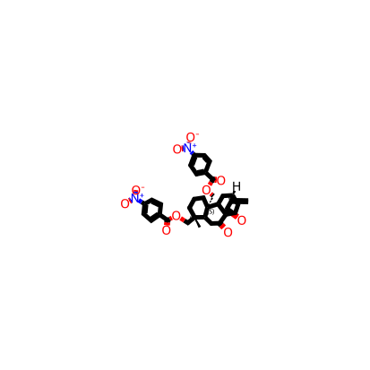 C=C1C(=O)C23CC[C@H]1CC2[C@]1(COC(=O)c2ccc([N+](=O)[O-])cc2)CCC[C@@](C)(COC(=O)c2ccc([N+](=O)[O-])cc2)C1CC3=O